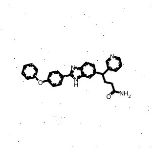 NC(=O)CCC(c1cccnc1)c1ccc2nc(-c3ccc(Oc4ccccc4)cc3)[nH]c2c1